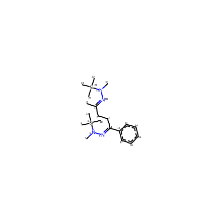 CC(CCC(=NN(C)[Si](C)(C)C)c1ccccc1)=NN(C)[Si](C)(C)C